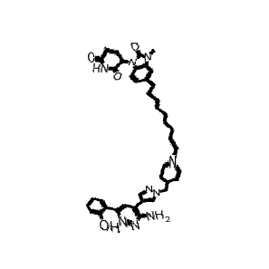 Cn1c(=O)n(C2CCC(=O)NC2=O)c2ccc(CCCCCCCCCN3CCC(Cn4cc(-c5cc(-c6ccccc6O)nnc5N)cn4)CC3)cc21